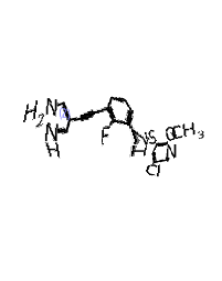 COc1ncc(Cl)cc1SNc1cccc(C#C/C(C=N)=C/N)c1F